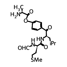 CSCC[C@@H](NC=O)C(=O)N[C@H](CC(C)C)C(=O)c1ccc(OC(=O)[C@H](C)N)cc1